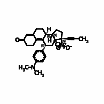 CC#C[C@]1([N+](=O)[O-])CC[C@H]2[C@@H]3CCC4=CC(=O)CCC4=C3[C@@H](c3ccc(N(C)C)cc3)C[C@@]21C